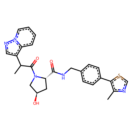 Cc1ncsc1-c1ccc(CNC(=O)[C@@H]2C[C@@H](O)CN2C(=O)C(C)c2cnn3ccccc23)cc1